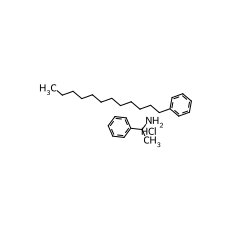 CC(N)c1ccccc1.CCCCCCCCCCCCc1ccccc1.Cl